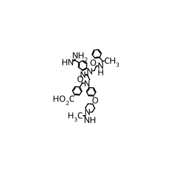 CC(=N)N1CCC(Oc2ccc(N(Cc3nc4cc(C(=N)N)ccc4n3CC(=O)NC(C)c3ccccc3)C(=O)c3ccc(C(=O)O)cc3)cc2)CC1